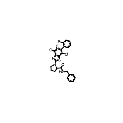 O=C(NCc1ccccc1)C1CCCN1c1nc2c(=O)[nH]c(-c3ccccc3F)c(Cl)c2s1